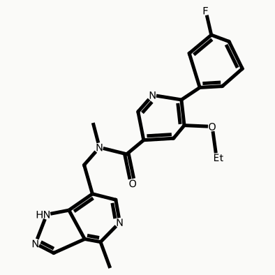 CCOc1cc(C(=O)N(C)Cc2cnc(C)c3cn[nH]c23)cnc1-c1cccc(F)c1